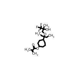 C=C(C)C(=O)OC1CCCC(C(CC)(CC)OCC(C)(O)C(F)(F)F)CC1